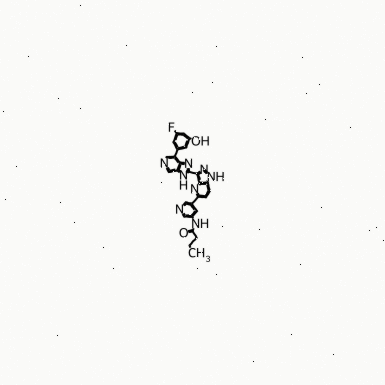 CCCC(=O)Nc1cncc(-c2ccc3[nH]nc(-c4nc5c(-c6cc(O)cc(F)c6)cncc5[nH]4)c3n2)c1